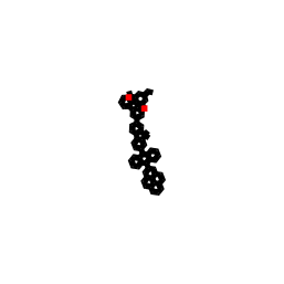 CC=C1CC(C)C2(c3ccccc3-c3cc(-c4ccc5c(c4)C(C)(C)c4cc(-c6c7ccccc7c(-c7cc8ccc9cccc%10ccc(c7)c8c9%10)c7ccccc67)ccc4-5)ccc32)C(CC)C1